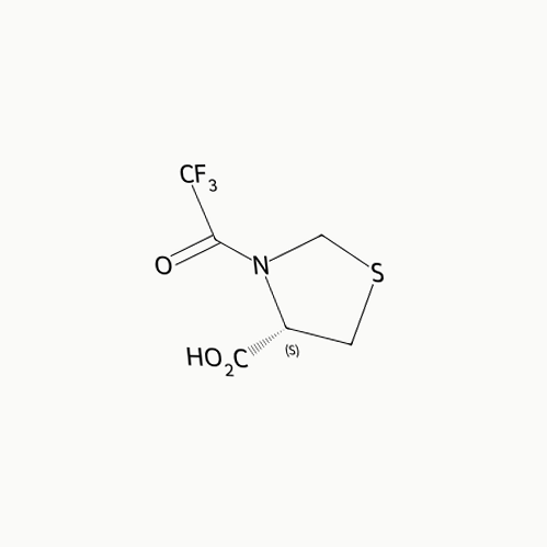 O=C(O)[C@H]1CSCN1C(=O)C(F)(F)F